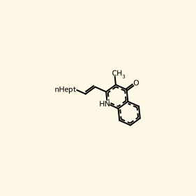 CCCCCCC/C=C/c1[nH]c2ccccc2c(=O)c1C